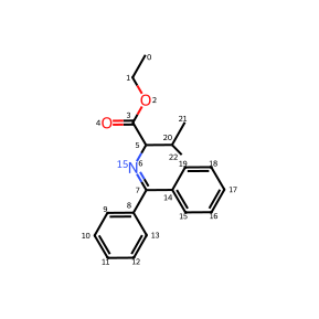 CCOC(=O)C([15N]=C(c1ccccc1)c1ccccc1)C(C)C